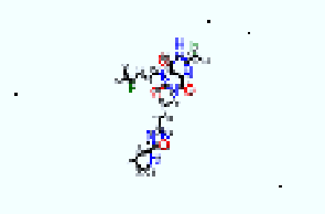 CC(F)c1nc2c(=O)n(CCCCc3noc(-c4ccccn4)n3)c(=O)n(CCCC3(F)CC3)c2c(=O)[nH]1